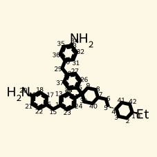 CC[C@H]1CC[C@H](CCC2CCC(c3ccc(Cc4ccc(N)cc4)cc3)(c3ccc(Cc4ccc(N)cc4)cc3)CC2)CC1